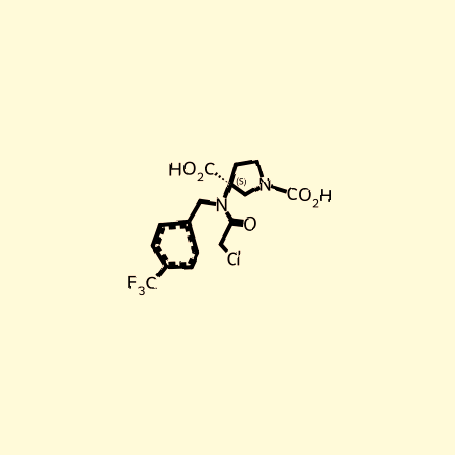 O=C(O)N1CC[C@](C(=O)O)(N(Cc2ccc(C(F)(F)F)cc2)C(=O)CCl)C1